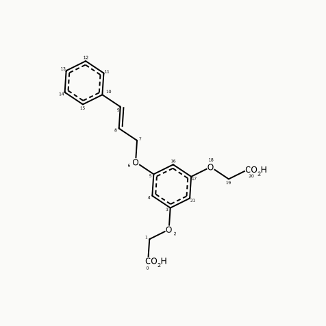 O=C(O)COc1cc(OC/C=C/c2ccccc2)cc(OCC(=O)O)c1